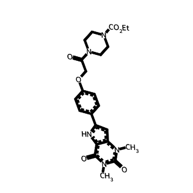 CCOC(=O)N1CCN(C(=O)COc2ccc(-c3cc4c([nH]3)c(=O)n(C)c(=O)n4C)cc2)CC1